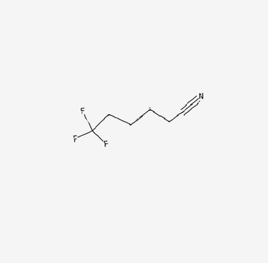 N#CC[CH]CCC(F)(F)F